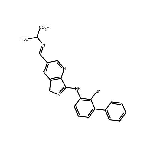 CC(N=Cc1cnc2c(Nc3cccc(-c4ccccc4)c3Br)nsc2n1)C(=O)O